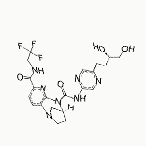 O=C(NCC(F)(F)F)c1ccc2c(n1)N(C(=O)Nc1cnc(CC[C@@H](O)CO)cn1)[C@H]1CCN2C1